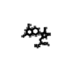 CN(C)Cc1c[nH]c(=S)n1[C@H]1CCc2c(F)cc(F)cc2C1